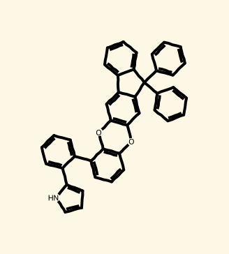 c1ccc(C2(c3ccccc3)c3ccccc3-c3cc4c(cc32)Oc2cccc(-c3ccccc3-c3ccc[nH]3)c2O4)cc1